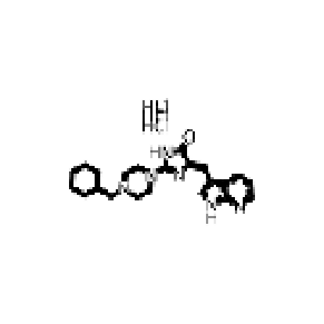 Cl.Cl.Cl.O=C1NC(N2CCN(CC3CCCCC3)CC2)=NC1=Cc1c[nH]c2ncccc12